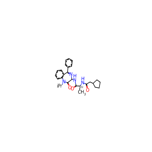 CC(C)N1C(=O)C(NC(=O)[C@H](C)NC(=O)CC2CCCC2)N=C(c2ccccc2)c2ccccc21